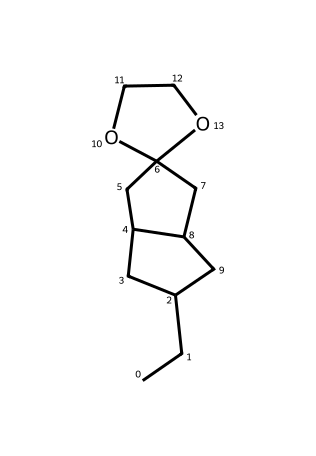 CCC1CC2CC3(CC2C1)OCCO3